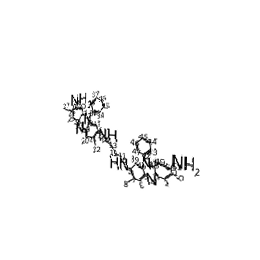 Cc1cc2nc3cc(C)c(NCCCCNc4cc5c(cc4C)nc4cc(C)c(N)cc4[n+]5-c4ccccc4)cc3[n+](-c3ccccc3)c2cc1N